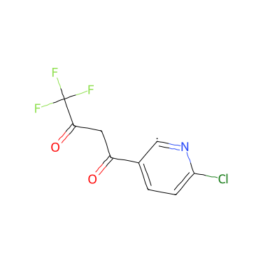 O=C(CC(=O)C(F)(F)F)c1[c]nc(Cl)cc1